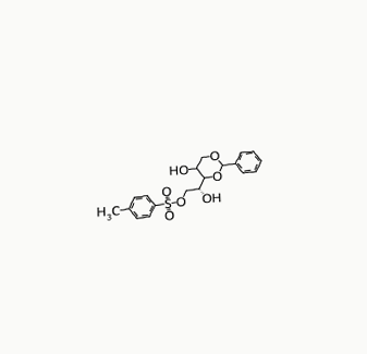 Cc1ccc(S(=O)(=O)OC[C@@H](O)C2OC(c3ccccc3)OCC2O)cc1